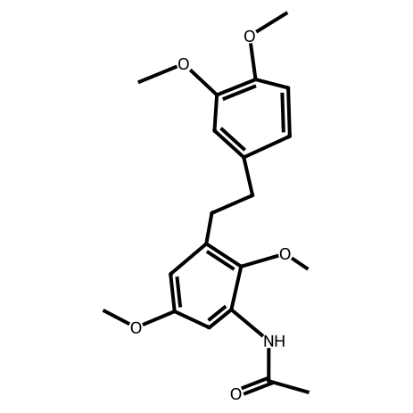 COc1cc(CCc2ccc(OC)c(OC)c2)c(OC)c(NC(C)=O)c1